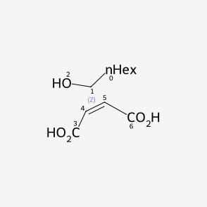 CCCCCCCO.O=C(O)/C=C\C(=O)O